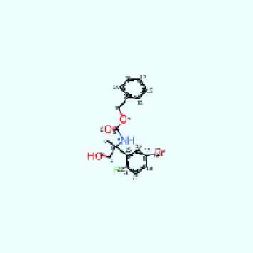 CC(CO)(NC(=O)OCc1ccccc1)c1cc(Br)ccc1F